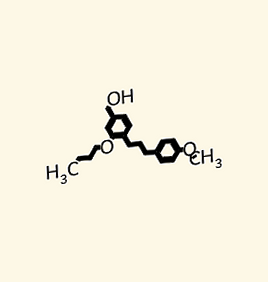 CCCCOc1cc(CO)ccc1CCCc1ccc(OC)cc1